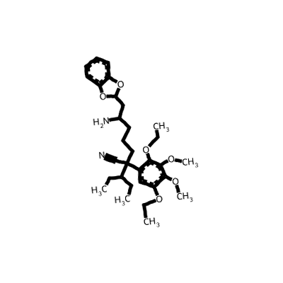 CCOc1cc(C(C#N)(CCCC(N)CC2Oc3ccccc3O2)C(CC)CC)c(OCC)c(OC)c1OC